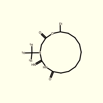 [2H]C([2H])([2H])N1CC(=O)OC(CC)CCCCCCCCC(=O)NC1=N